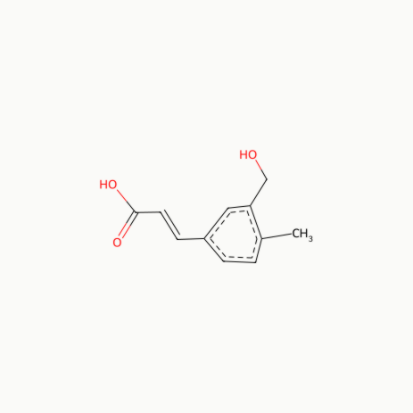 Cc1ccc(/C=C/C(=O)O)cc1CO